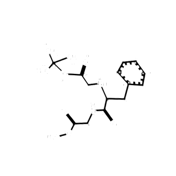 COC(=O)CNC(=O)C(Cc1ccccc1)NCC(=O)OC(C)(C)C